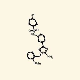 COc1ccccc1Cn1cc(-c2cccc(NS(=O)(=O)c3ccc(C(C)C)cc3)c2)nc1N